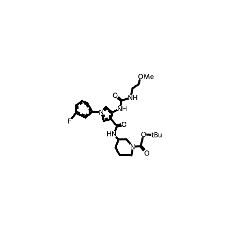 COCCNC(=O)Nc1cn(-c2cccc(F)c2)cc1C(=O)NC1CCCN(C(=O)OC(C)(C)C)C1